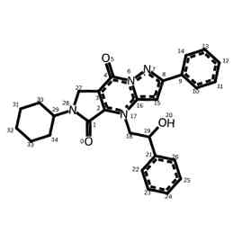 O=C1c2c(c(=O)n3nc(-c4ccccc4)cc3n2CC(O)c2ccccc2)CN1C1CCCCC1